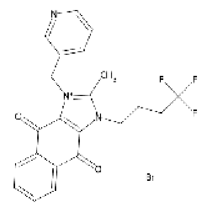 Cc1n(CCCC(F)(F)F)c2c([n+]1Cc1cccnc1)C(=O)c1ccccc1C2=O.[Br-]